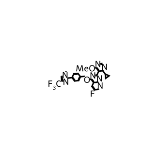 COc1ncnc(C2CC2)c1-c1nc(OCc2ccc(-c3nc(C(F)(F)F)cn3C)cc2)c2cc(F)cnc2n1